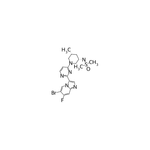 C[C@@H]1C[C@H](N=S(C)(C)=O)CN(c2ccnc(-c3cnc4cc(F)c(Br)cn34)n2)C1